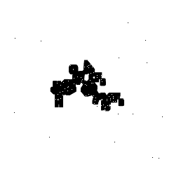 C=NN(/C=C(\C)c1ccc([C@H]2[C@@H](C3CC3)C(=O)N2c2ccc3[nH]cnc3c2)c(C(F)(F)F)c1)C(F)(F)F